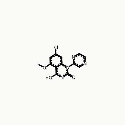 COc1cc(Cl)cc2c1c(O)nc(=O)n2-c1cnccn1